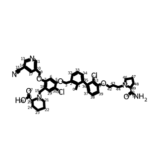 Cc1c(COc2cc(OCc3cncc(C#N)c3)c(CN3CCCC[C@H]3C(=O)O)cc2Cl)cccc1-c1cccc(OCCCN2CCC[C@H]2C(N)=O)c1Cl